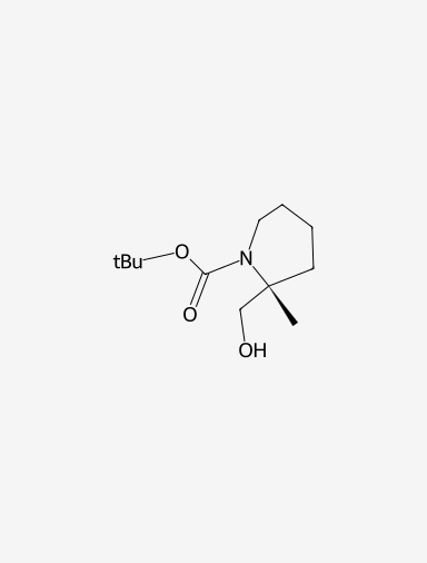 CC(C)(C)OC(=O)N1CCCC[C@]1(C)CO